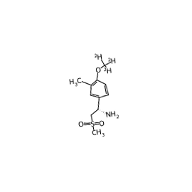 [2H]C([2H])([2H])Oc1ccc([C@H](N)CS(C)(=O)=O)cc1C